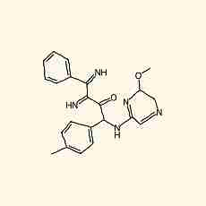 COC1CN=CC(NC(C(=O)C(=N)C(=N)c2ccccc2)c2ccc(C)cc2)=N1